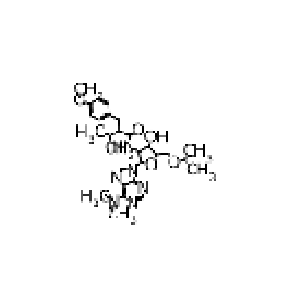 COc1ccc(CC(C(=O)NC2C(O)C(COC(C)C)OC2n2cnc3c(N(C)C)ncnc32)C(C)C)cc1